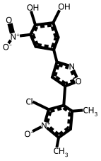 Cc1cc(C)[n+]([O-])c(Cl)c1-c1cc(-c2cc(O)c(O)c([N+](=O)[O-])c2)no1